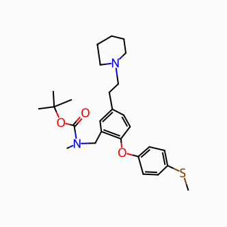 CSc1ccc(Oc2ccc(CCN3CCCCC3)cc2CN(C)C(=O)OC(C)(C)C)cc1